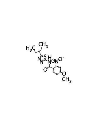 CCC(CC)c1nnc(NC(=O)c2ccc(OC)cc2[N+](=O)[O-])s1